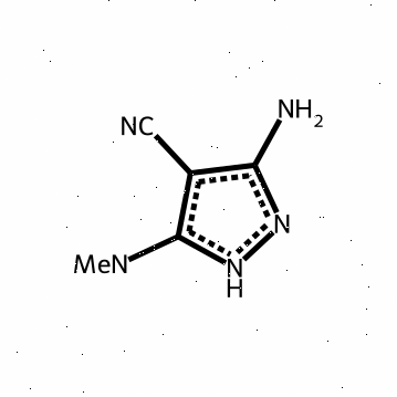 CNc1[nH]nc(N)c1C#N